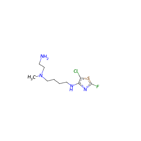 CN(CCN)CCCCNc1nc(F)sc1Cl